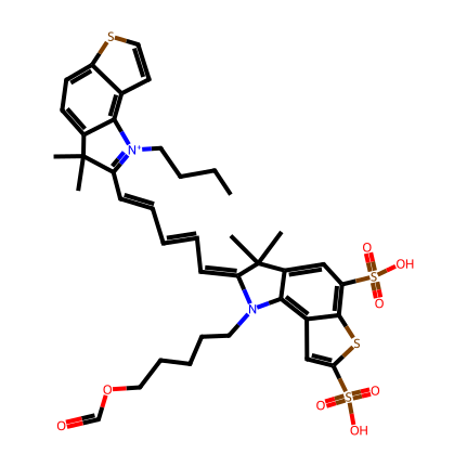 CCCC[N+]1=C(/C=C/C=C/C=C2/N(CCCCCOC=O)c3c(cc(S(=O)(=O)O)c4sc(S(=O)(=O)O)cc34)C2(C)C)C(C)(C)c2ccc3sccc3c21